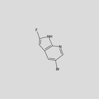 Fc1cc2cc(Br)cnc2[nH]1